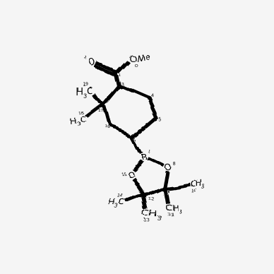 COC(=O)C1CCC(B2OC(C)(C)C(C)(C)O2)CC1(C)C